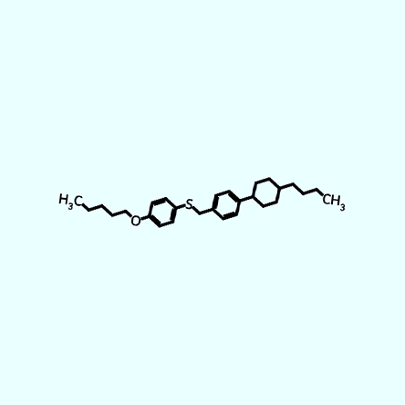 CCCCCOc1ccc(SCc2ccc(C3CCC(CCCC)CC3)cc2)cc1